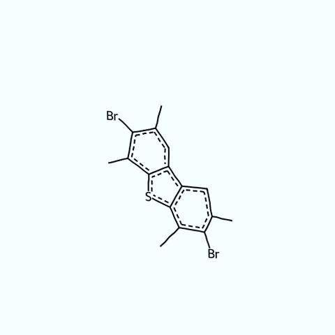 Cc1cc2c(sc3c(C)c(Br)c(C)cc32)c(C)c1Br